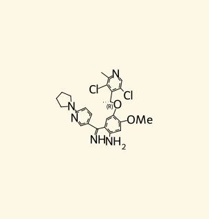 COc1cc(N)c(C(=N)c2ccc(N3CCCC3)nc2)cc1O[C@H](C)c1c(Cl)cnc(C)c1Cl